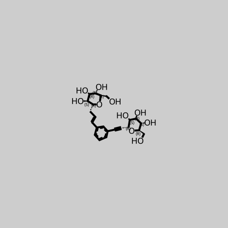 OC[C@H]1O[C@H](CC=Cc2cccc(C#C[C@H]3O[C@H](CO)[C@@H](O)[C@H](O)[C@@H]3O)c2)[C@@H](O)[C@@H](O)[C@@H]1O